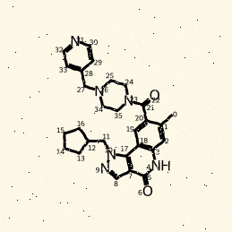 Cc1cc2[nH]c(=O)c3cnn(CC4CCCC4)c3c2cc1C(=O)N1CCN(Cc2ccncc2)CC1